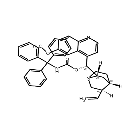 C=C[C@H]1CN2CC[C@H]1C[C@H]2[C@H](OC(=O)NC(c1ccccc1)(c1ccccc1)c1ccccc1)c1ccnc2ccc(OC)cc12